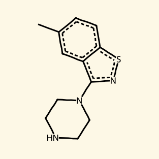 Cc1ccc2snc(N3CCNCC3)c2c1